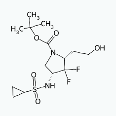 CC(C)(C)OC(=O)N1C[C@@H](NS(=O)(=O)C2CC2)C(F)(F)[C@H]1CCO